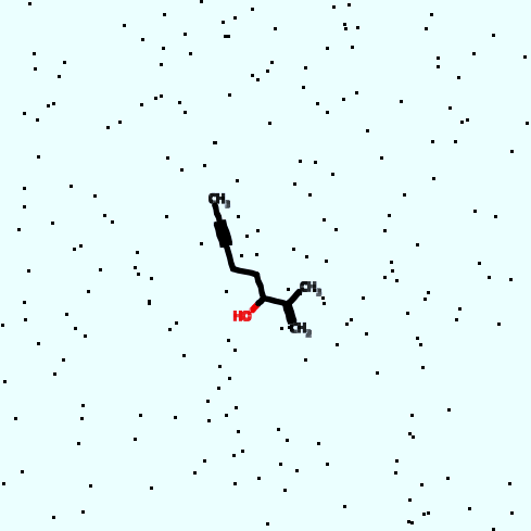 C=C(C)C(O)CCC#CC